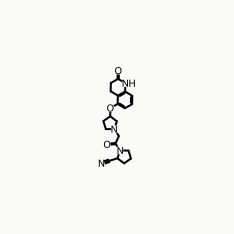 N#CC1CCCN1C(=O)CN1CCC(Oc2cccc3c2CCC(=O)N3)C1